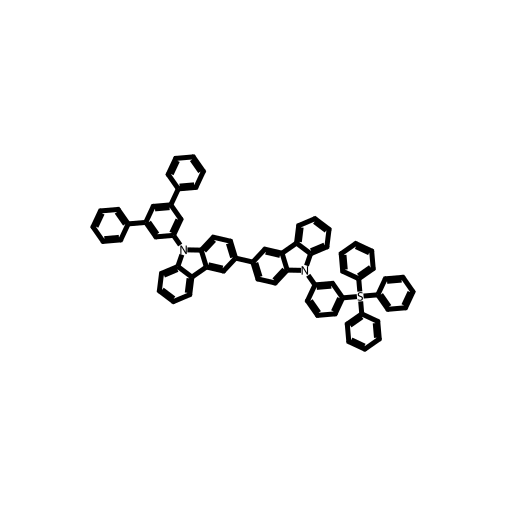 c1ccc(-c2cc(-c3ccccc3)cc(-n3c4ccccc4c4cc(-c5ccc6c(c5)c5ccccc5n6-c5cccc(S(c6ccccc6)(c6ccccc6)c6ccccc6)c5)ccc43)c2)cc1